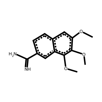 COc1cc2ccc(C(=N)N)cc2c(OC)c1OC